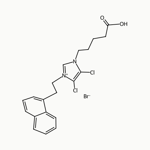 O=C(O)CCCCn1c[n+](CCc2cccc3ccccc23)c(Cl)c1Cl.[Br-]